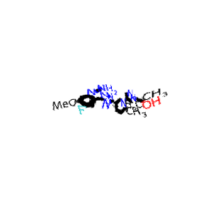 COc1cc2nc(N)n3nc([C@H]4CC[C@@H](C)N(c5cnn(CC(C)(C)O)c5)C4)nc3c2cc1F